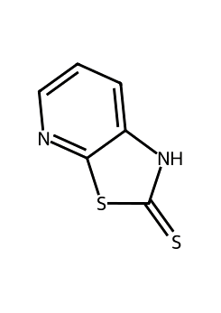 S=c1[nH]c2cccnc2s1